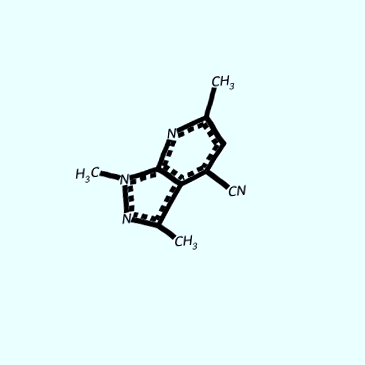 Cc1cc(C#N)c2c(C)nn(C)c2n1